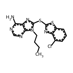 CCCCn1c(Sc2nc3c(Cl)cccc3s2)nc2c(N)ncnc21